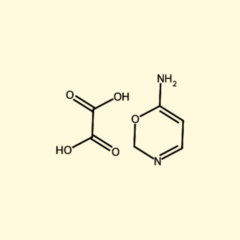 NC1=CC=NCO1.O=C(O)C(=O)O